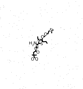 CCC1=C(OCOCC[Si](C)(C)C)N(CC)C(C(N)=NOC(=O)CC(C)(C)C(=O)OC)S1